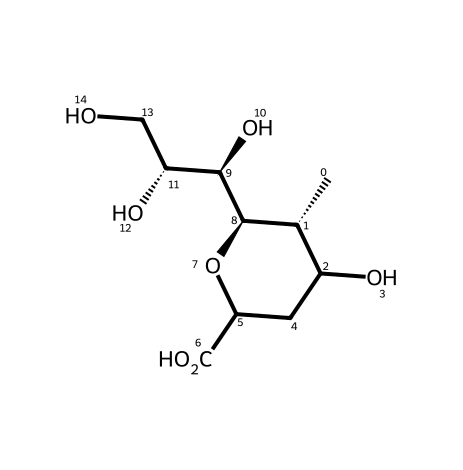 C[C@@H]1C(O)CC(C(=O)O)O[C@H]1[C@H](O)[C@H](O)CO